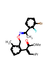 CCC/C=C(\C(=O)OC)c1cccc(C)c1CO/N=C(\C)c1cccc(Br)c1F